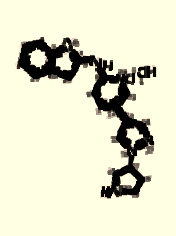 Cl.Cl.c1ccc2oc(Nc3ccc(-c4cnn([C@H]5CCNC5)c4)cn3)cc2c1